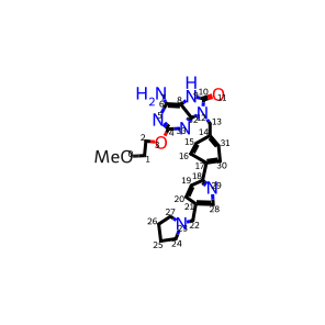 COCCOc1nc(N)c2[nH]c(=O)n(Cc3ccc(-c4ccc(CN5CCCC5)cn4)cc3)c2n1